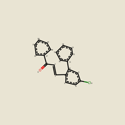 O=C(C=Cc1ccc(Cl)cc1-c1ccccc1)c1ccccc1